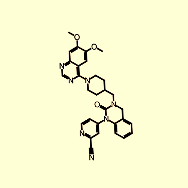 COc1cc2ncnc(N3CCC(CN4Cc5ccccc5N(c5ccnc(C#N)c5)C4=O)CC3)c2cc1OC